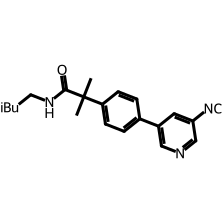 [C-]#[N+]c1cncc(-c2ccc(C(C)(C)C(=O)NCC(C)CC)cc2)c1